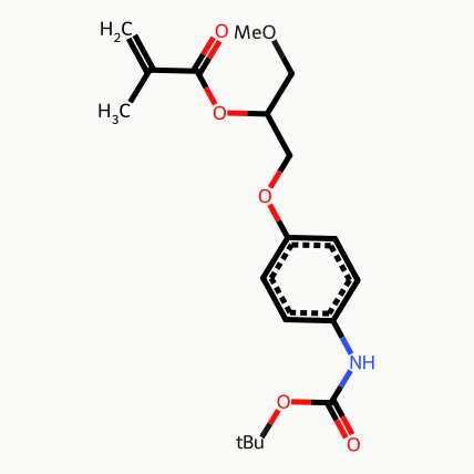 C=C(C)C(=O)OC(COC)COc1ccc(NC(=O)OC(C)(C)C)cc1